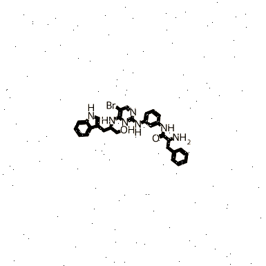 NC(Cc1ccccc1)C(=O)Nc1cccc(Nc2ncc(Br)c(NC(CO)Cc3c[nH]c4ccccc34)n2)c1